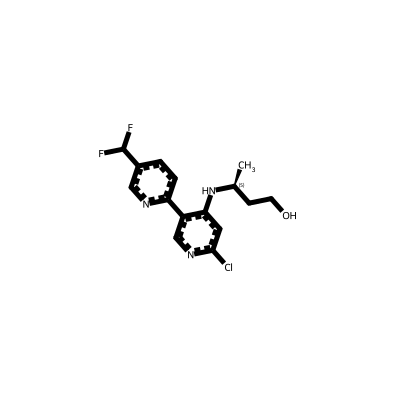 C[C@@H](CCO)Nc1cc(Cl)ncc1-c1ccc(C(F)F)cn1